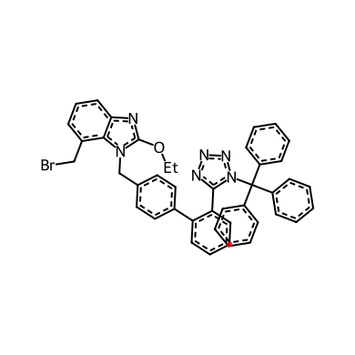 CCOc1nc2cccc(CBr)c2n1Cc1ccc(-c2ccccc2-c2nnnn2C(c2ccccc2)(c2ccccc2)c2ccccc2)cc1